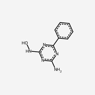 Nc1nc(NO)nc(-c2ccccc2)n1